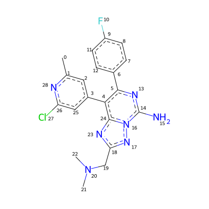 Cc1cc(-c2c(-c3ccc(F)cc3)nc(N)n3nc(CN(C)C)nc23)cc(Cl)n1